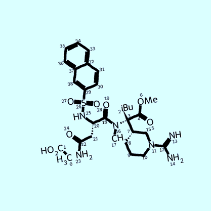 CC(=O)O.CC[C@H](C)[C@@](C(=O)OC)([C@H]1CCCN(C(=N)N)C1)N(C)C(=O)[C@H](CC(N)=O)NS(=O)(=O)c1ccc2ccccc2c1